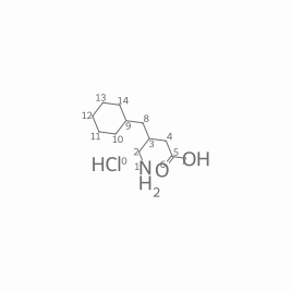 Cl.NCC(CC(=O)O)CC1CCCCC1